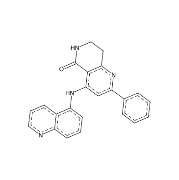 O=C1NCCc2nc(-c3ccccc3)cc(Nc3cccc4ncccc34)c21